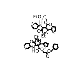 CCOC(=O)COC(=O)c1c(-c2cccs2)nn(CC)c(=O)c1Nc1cccnc1.CCn1nc(-c2cccs2)c(C(=O)OCC(=O)OCc2ccccc2)c(Nc2cccnc2)c1=O